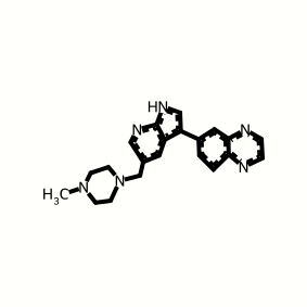 CN1CCN(Cc2cnc3[nH]cc(-c4ccc5nccnc5c4)c3c2)CC1